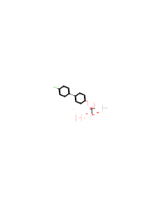 CC(C)(Oc1ccc(-c2ccc(Cl)cc2)cc1)C(=O)O